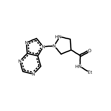 CCNC(=O)C1CNN(n2cnc3ncncc32)C1